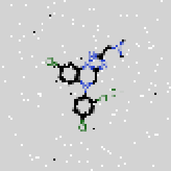 CN(C)Cc1nc2n(n1)-c1cc(Cl)ccc1N(c1ccc(Cl)cc1Cl)C2.Cl